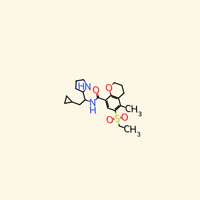 CCS(=O)(=O)c1cc(C(=O)NC(CC2CC2)C2CCCN2)c2c(c1C)CCCO2